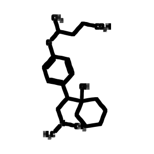 CC(CCC(=O)O)Oc1ccc(C(CN(C)C)C2(O)CCCCC2)cc1